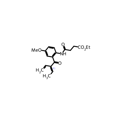 C=C/C(=C\C)C(=O)c1cc(OC)ccc1NC(=O)CCC(=O)OCC